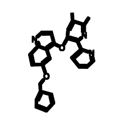 Cc1cc(Oc2ccnc3ccc(OCc4ccccc4)cc23)c(-c2ccccn2)nc1C